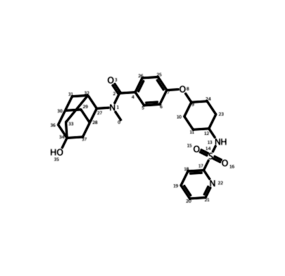 CN(C(=O)c1ccc(OC2CCC(NS(=O)(=O)c3ccccn3)CC2)cc1)C1C2CC3CC1CC(O)(C3)C2